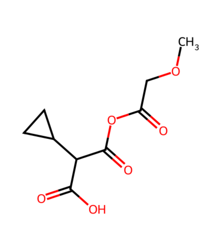 COCC(=O)OC(=O)C(C(=O)O)C1CC1